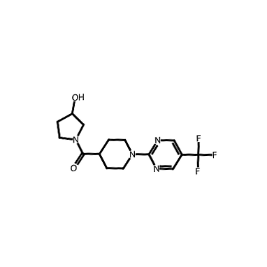 O=C(C1CCN(c2ncc(C(F)(F)F)cn2)CC1)N1CCC(O)C1